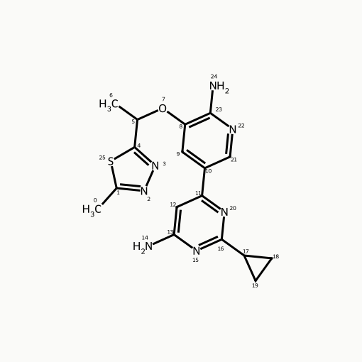 Cc1nnc(C(C)Oc2cc(-c3cc(N)nc(C4CC4)n3)cnc2N)s1